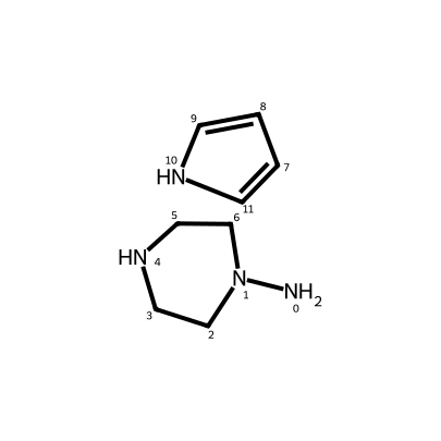 NN1CCNCC1.c1cc[nH]c1